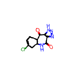 O=C1NC2CC(Cl)=CCC2C(=O)c2[nH]nnc21